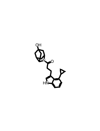 O=C(CCc1c[nH]c2cccc(C3CC3)c12)N1C2CC3CC(O)(C2)CC31